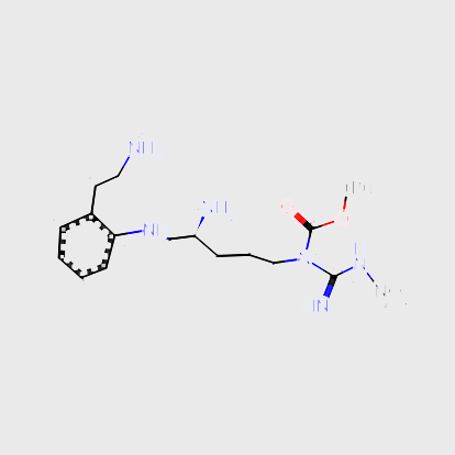 CC(C)(C)OC(=O)N(CCC[C@H](N)CNc1ccccc1CCN)C(=N)N[N+](=O)[O-]